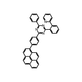 c1ccc(-c2nc(-c3ccc(-c4ccc5ccc6cccc7ccc4c5c67)cc3)nc(-c3ccccc3-c3ccccn3)n2)cc1